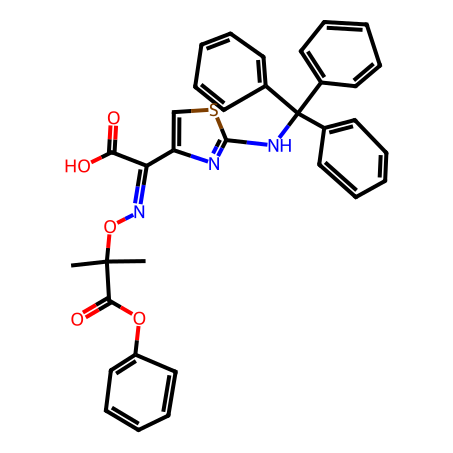 CC(C)(ON=C(C(=O)O)c1csc(NC(c2ccccc2)(c2ccccc2)c2ccccc2)n1)C(=O)Oc1ccccc1